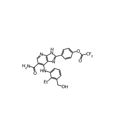 CCc1c(CO)cccc1Nc1c(C(N)=O)cnc2[nH]c(-c3ccc(OC(=O)C(F)(F)F)cc3)nc12